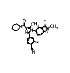 Cc1c(C(=O)N2CCCCC2)nc(-c2ccc(C#N)c(F)c2)n1-c1ccc2nn(C)c(F)c2c1